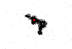 CC(C)CC(=O)SCCOP(=O)(Oc1ccccc1)C(F)(F)c1ccc2sc(C(=O)N[C@H]3C[C@H]4C[C@H]4C[C@H]4CC[C@@H](C(=O)N5CC(c6cccnc6)C5)N4C3=O)cc2c1